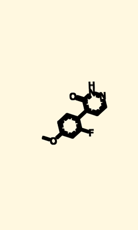 COc1ccc(-c2ccn[nH]c2=O)c(F)c1